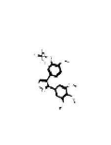 COc1cc(-c2nscc2-c2ccc(SC)c(OP(=O)(O)O)c2)cc(OC)c1OC